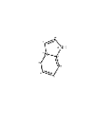 [C]1=CN2CC=CC=C2N1